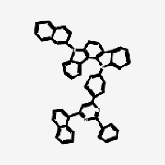 c1ccc(-c2nc(-c3ccc(-n4c5ccccc5c5ccc6c(c7ccccc7n6-c6ccc7ccccc7c6)c54)cc3)cc(-c3cccc4ccccc34)n2)cc1